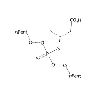 CCCCCOOP(=S)(OOCCCCC)SC(C)CC(=O)O